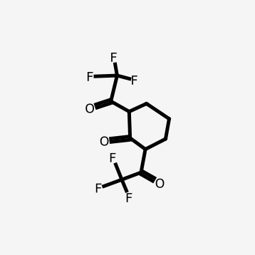 O=C1C(C(=O)C(F)(F)F)CCCC1C(=O)C(F)(F)F